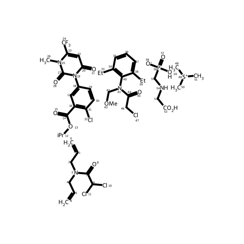 C=CCN(CC=C)C(=O)C(Cl)Cl.CC(C)OC(=O)c1cc(-n2c(=O)cc(C(F)(F)F)n(C)c2=O)ccc1Cl.CCc1cccc(CC)c1N(COC)C(=O)CCl.C[S+](C)C.O=C(O)CNCP(=O)([O-])O